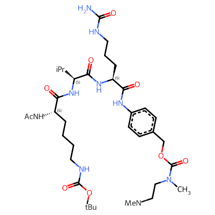 CNCCN(C)C(=O)OCc1ccc(NC(=O)[C@H](CCCNC(N)=O)NC(=O)[C@@H](NC(=O)[C@H](CCCCNC(=O)OC(C)(C)C)NC(C)=O)C(C)C)cc1